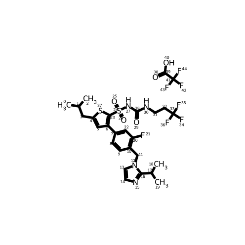 CC(C)Cc1cc(-c2ccc(Cn3ccnc3C(C)C)c(F)c2)c(S(=O)(=O)NC(=O)NCCC(F)(F)F)s1.O=C(O)C(F)(F)F